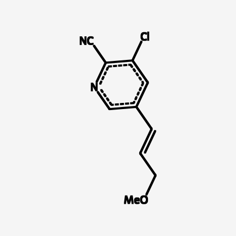 COC/C=C/c1cnc(C#N)c(Cl)c1